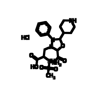 CS(=O)(=O)NC(CN1C(C(N)=O)OC(C2CCNCC2)N1c1ccccc1)C(=O)O.Cl